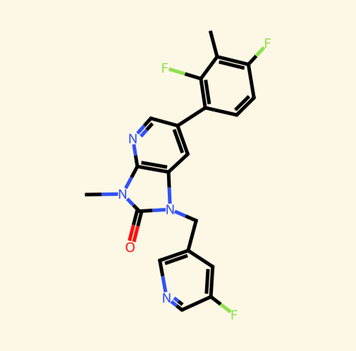 Cc1c(F)ccc(-c2cnc3c(c2)n(Cc2cncc(F)c2)c(=O)n3C)c1F